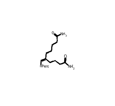 CCCCCC=C(CCCCC(N)=O)CCCC(N)=O